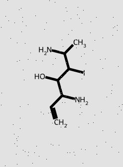 C=CC(N)C(O)C(I)C(C)N